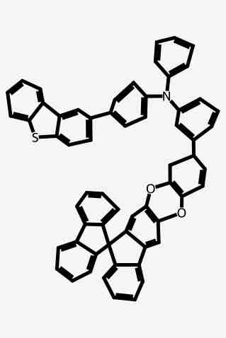 C1=CC(c2cccc(N(c3ccccc3)c3ccc(-c4ccc5sc6ccccc6c5c4)cc3)c2)CC2=C1Oc1cc3c(cc1O2)C1(c2ccccc2-c2ccccc21)c1ccccc1-3